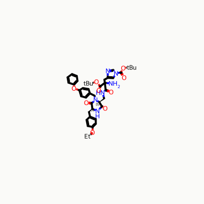 CCOc1ccc(C[C@@H]2NC(=O)[C@H](CNC(=O)C(N)(Cc3cn(C(=O)OC(C)(C)C)cn3)C(=O)OC(C)(C)C)N(Cc3ccc(Oc4ccccc4)cc3)C2=O)cc1